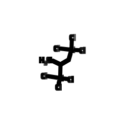 [SiH3]C(C[Si](Cl)(Cl)Cl)[Si](Cl)(Cl)Cl